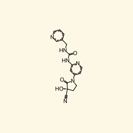 N#C[C@@]1(O)CCN(c2ccnc(NC(=O)NCc3cccnc3)c2)C1=O